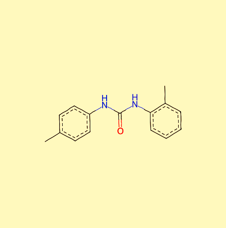 Cc1ccc(NC(=O)Nc2ccccc2C)cc1